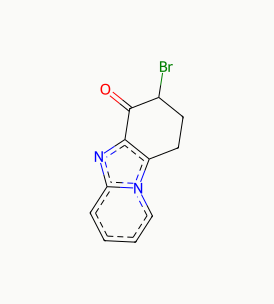 O=C1c2nc3ccccn3c2CCC1Br